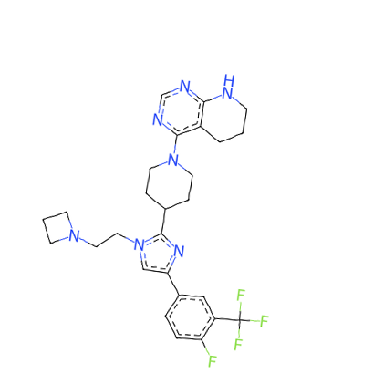 Fc1ccc(-c2cn(CCN3CCC3)c(C3CCN(c4ncnc5c4CCCN5)CC3)n2)cc1C(F)(F)F